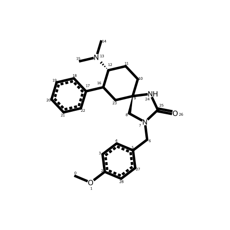 COc1ccc(CN2C[C@@]3(CC[C@@H](N(C)C)C(c4ccccc4)C3)NC2=O)cc1